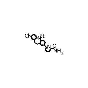 CCN1c2ccc(Cl)cc2CCc2cc(-c3cccc(C(N)=O)n3)ccc21